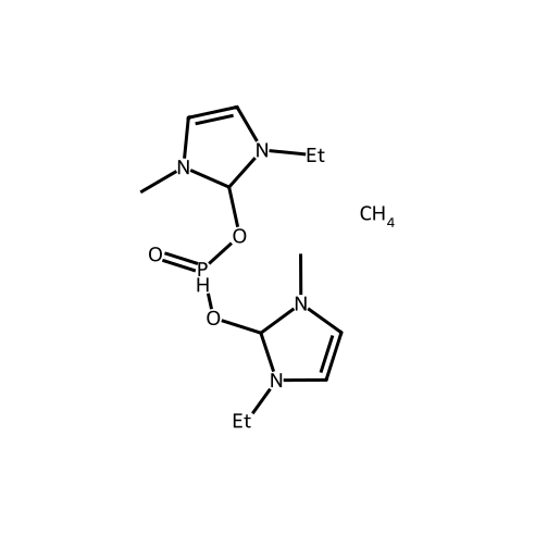 C.CCN1C=CN(C)C1O[PH](=O)OC1N(C)C=CN1CC